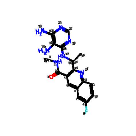 CC(C)NC(=O)c1cc2cc(F)ccc2nc1[C@H](C)Nc1ncnc(N)c1N